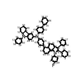 Fc1ccc(-n2c(-c3ccccc3)c(-c3ccccc3)c3ccc4c(-c5ccc(N(c6ccc(-c7ccccc7)cc6)c6ccc7c(c6)C6C=CC=CC6N7c6ccccc6)cc5)cccc4c32)cc1